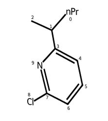 CCCC(C)c1cccc(Cl)n1